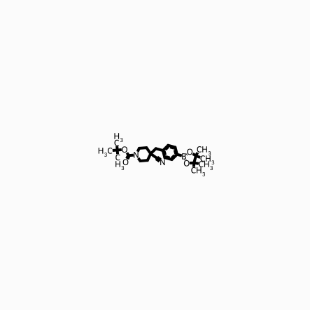 CC(C)(C)OC(=O)N1CCC(C#N)(Cc2ccc(B3OC(C)(C)C(C)(C)O3)cc2)CC1